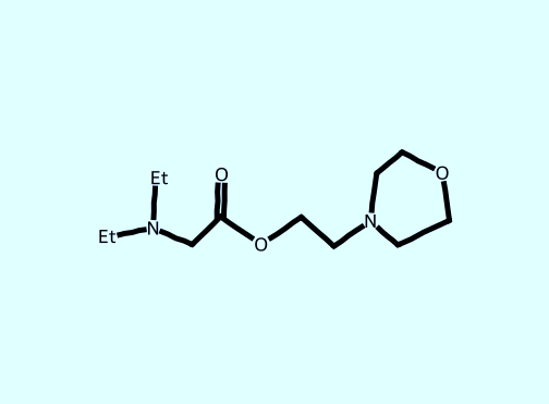 CCN(CC)CC(=O)OCCN1CCOCC1